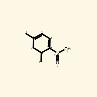 CC1=CC=C(S(=O)O)C(C)C1